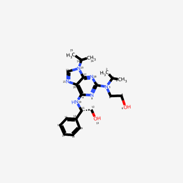 CC(C)N(CCO)c1nc(N[C@H](CO)c2ccccc2)c2ncn(C(C)C)c2n1